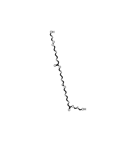 O=C(CSCCSCCOOCSCCSCOC(=O)CSCCSCCOOCSCO)OCSCO